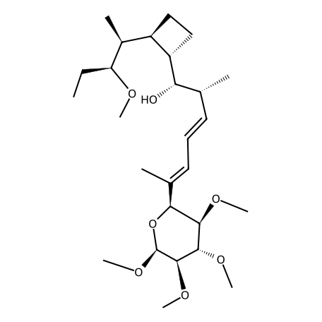 CC[C@H](OC)[C@@H](C)[C@H]1CC[C@@H]1[C@@H](O)[C@H](C)/C=C/C=C(\C)[C@@H]1O[C@H](OC)[C@H](OC)[C@@H](OC)[C@@H]1OC